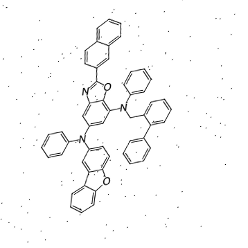 c1ccc(-c2ccccc2CN(c2ccccc2)c2cc(N(c3ccccc3)c3ccc4oc5ccccc5c4c3)cc3nc(-c4ccc5ccccc5c4)oc23)cc1